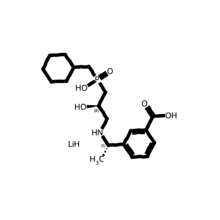 C[C@H](NC[C@@H](O)CP(=O)(O)CC1CCCCC1)c1cccc(C(=O)O)c1.[LiH]